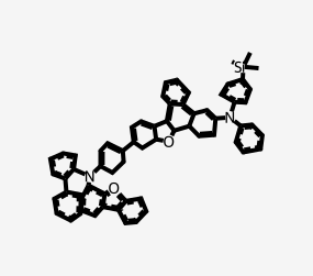 C[Si](C)(C)c1ccc(N(C2=CC3=c4ccccc4=C4C5=CC=C(C6=CC=C(N(c7ccccc7-c7ccccc7)c7cccc8c7oc7ccccc78)CC6)CC5OC4C3C=C2)c2ccccc2)cc1